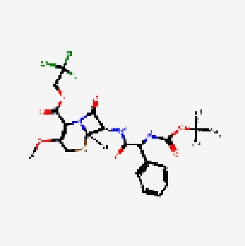 COC1=C(C(=O)OCC(Cl)(Cl)Cl)N2C(=O)[C@@H](NC(=O)C(NC(=O)OC(C)(C)C)c3ccccc3)[C@@H]2SC1